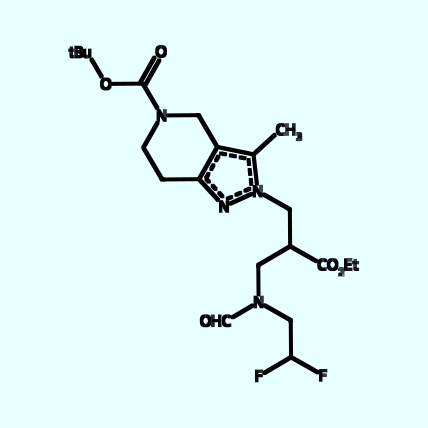 CCOC(=O)C(CN(C=O)CC(F)F)Cn1nc2c(c1C)CN(C(=O)OC(C)(C)C)CC2